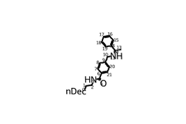 CCCCCCCCCCCCNC(=O)c1ccc(CN[C@H](C)c2ccccc2)cc1